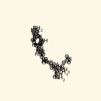 CC(C)[C@H](NC(=O)CCOCCN1C(=O)C=CC1=O)C(=O)N[C@@H](CCCNC(N)=O)C(=O)Nc1ccc(COC(=O)N(C)CCOC(=O)Nc2ncnc3c2ncn3[C@@H]2O[C@@H]3CO[PH](=O)O[C@H]4[C@@H](F)[C@H](n5cnc6c(N)ncnc65)O[C@@H]4CO[P@@](=O)(S)O[C@H]3[C@H]2F)cc1